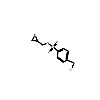 COc1ccc(S(=O)(=O)OCC2CO2)cc1